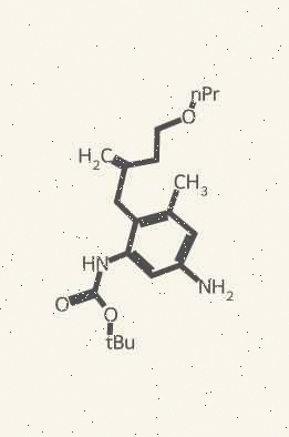 C=C(CCOCCC)Cc1c(C)cc(N)cc1NC(=O)OC(C)(C)C